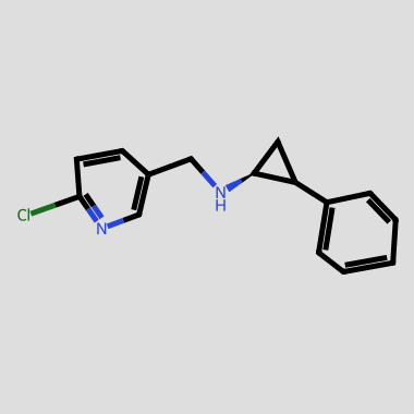 Clc1ccc(CN[C@H]2CC2c2ccccc2)cn1